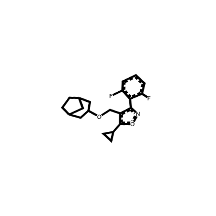 Fc1cccc(F)c1-c1noc(C2CC2)c1COC1CC2CCC(C2)C1